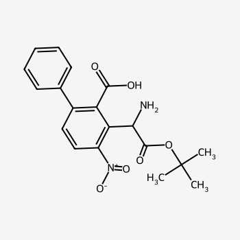 CC(C)(C)OC(=O)C(N)c1c([N+](=O)[O-])ccc(-c2ccccc2)c1C(=O)O